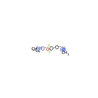 CCc1cnc(N2CCC(COc3c(F)cc(-c4ccc(Cc5nnn(C)n5)cc4)cc3F)CC2)nc1